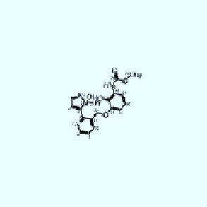 CC(C)n1nccc1-c1ncccc1COc1cccc(NC(=O)OC(C)(C)C)c1C=O